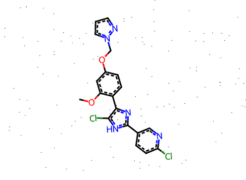 COc1cc(OCn2cccn2)ccc1-c1nc(-c2ccc(Cl)nc2)[nH]c1Cl